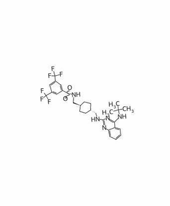 CC(C)(C)Nc1nc(NC[C@H]2CC[C@H](CNS(=O)(=O)c3cc(C(F)(F)F)cc(C(F)(F)F)c3)CC2)nc2ccccc12